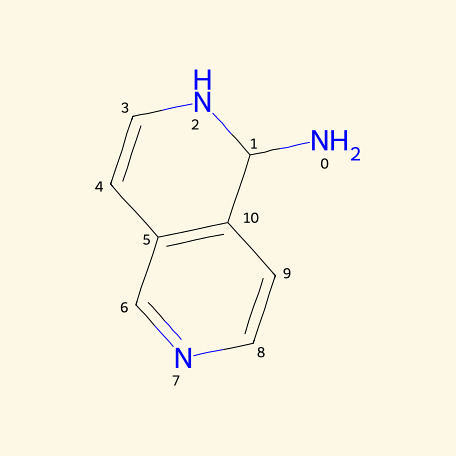 NC1NC=Cc2cnccc21